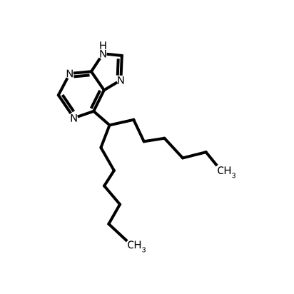 CCCCCCC(CCCCCC)c1ncnc2[nH]cnc12